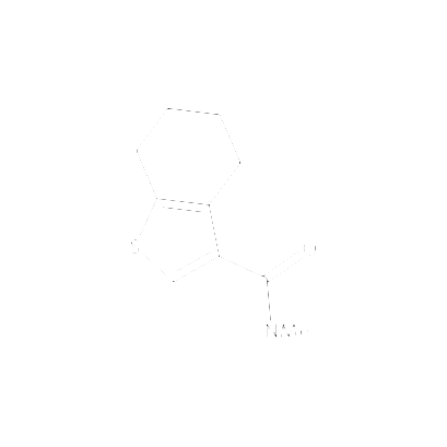 CNC(=O)c1[c]sc2c1CCCC2